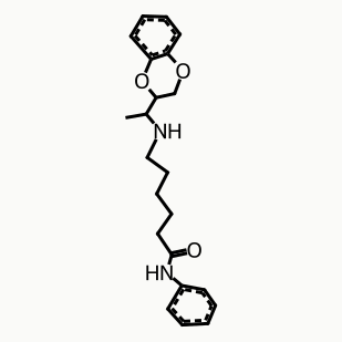 CC(NCCCCCC(=O)Nc1ccccc1)C1COc2ccccc2O1